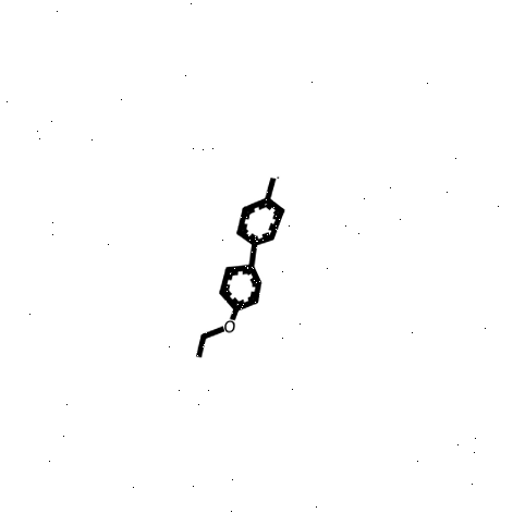 [CH2]c1ccc(-c2ccc(OCC)cc2)cc1